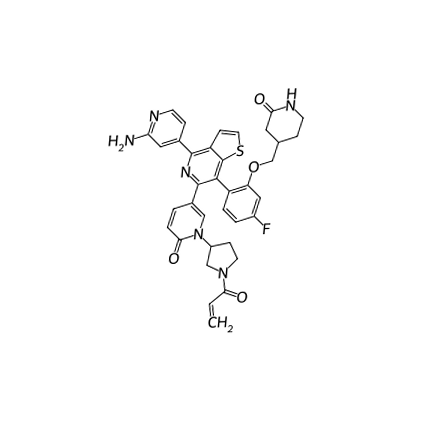 C=CC(=O)N1CCC(n2cc(-c3nc(-c4ccnc(N)c4)c4ccsc4c3-c3ccc(F)cc3OCC3CCNC(=O)C3)ccc2=O)C1